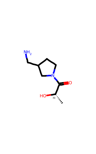 C[C@H](O)C(=O)N1CCC(CN)C1